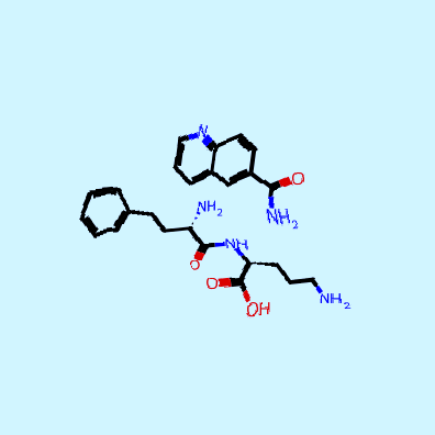 NC(=O)c1ccc2ncccc2c1.NCCC[C@H](NC(=O)[C@@H](N)CCc1ccccc1)C(=O)O